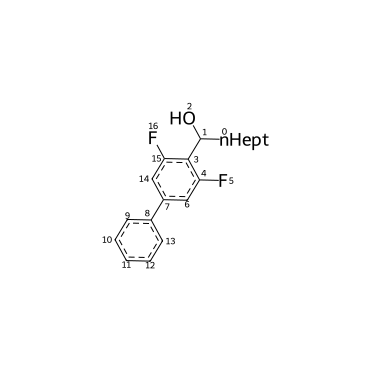 CCCCCCCC(O)c1c(F)cc(-c2ccccc2)cc1F